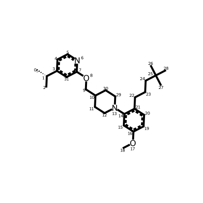 [CH2][C@@H](C)c1ccnc(OCC2CCN(c3cc(OC)ccc3CCCC(C)(C)C)CC2)c1